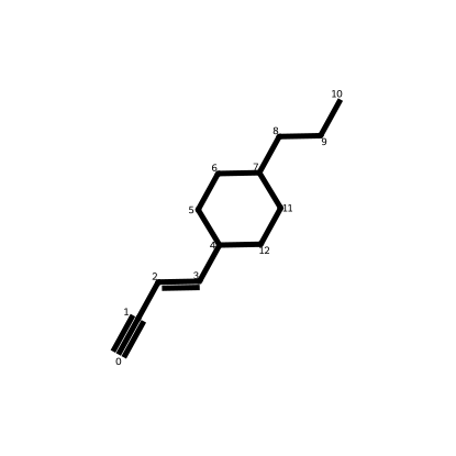 C#CC=CC1CCC(CCC)CC1